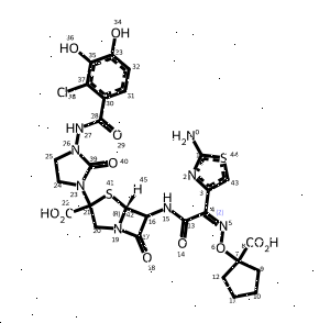 Nc1nc(/C(=N/OC2(C(=O)O)CCCC2)C(=O)NC2C(=O)N3CC(C(=O)O)(N4CCN(NC(=O)c5ccc(O)c(O)c5Cl)C4=O)S[C@H]23)cs1